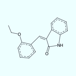 CCOc1ccccc1C=C1C(=O)Nc2ccccc21